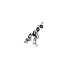 NC(=O)c1cc(N2CCCC(NC(=O)O)C2)cnc1Oc1ccc(Oc2cccc(F)c2)cc1